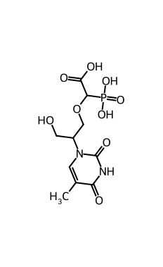 Cc1cn(C(CO)COC(C(=O)O)P(=O)(O)O)c(=O)[nH]c1=O